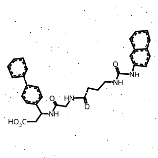 O=C(O)CC(NC(=O)CNC(=O)CCCNC(=O)Nc1ccc2ccccc2c1)c1ccc(-c2ccccc2)cc1